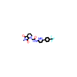 CN1C(=O)C2=C(C1=O)N(CC(=O)Nc1ccc(-c3ccc(C(F)(F)F)cc3)nn1)CCC2